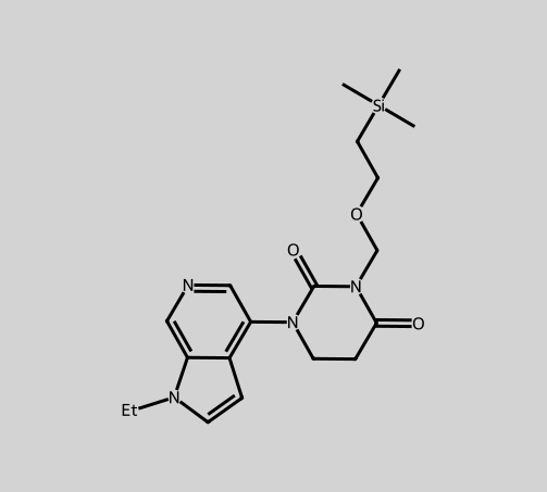 CCn1ccc2c(N3CCC(=O)N(COCC[Si](C)(C)C)C3=O)cncc21